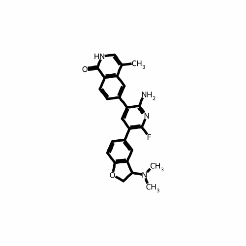 Cc1c[nH]c(=O)c2ccc(-c3cc(-c4ccc5c(c4)C(N(C)C)CO5)c(F)nc3N)cc12